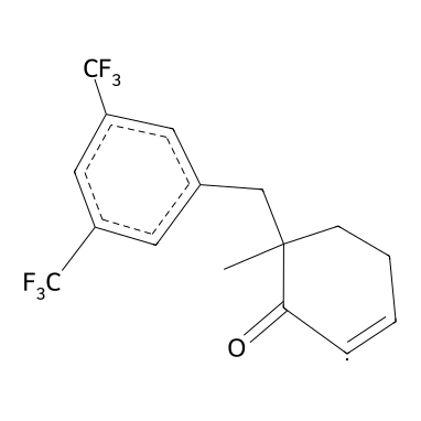 CC1(Cc2cc(C(F)(F)F)cc(C(F)(F)F)c2)CCC=[C]C1=O